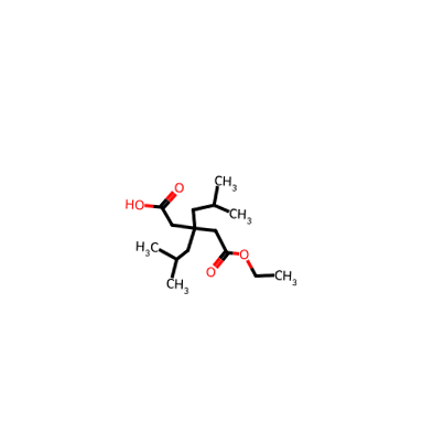 CCOC(=O)CC(CC(=O)O)(CC(C)C)CC(C)C